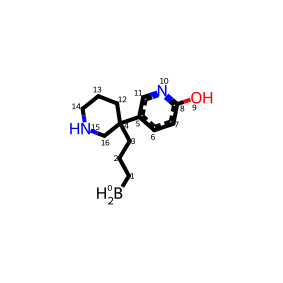 BCCCC1(c2ccc(O)nc2)CCCNC1